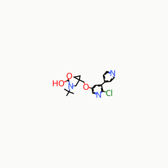 CC(C)(C)N(CC1(COc2cnc(Cl)c(-c3ccncc3)c2)CC1)C(=O)O